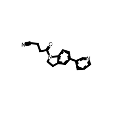 N#CCCC(=O)N1CCc2cc(-c3cccnc3)ccc21